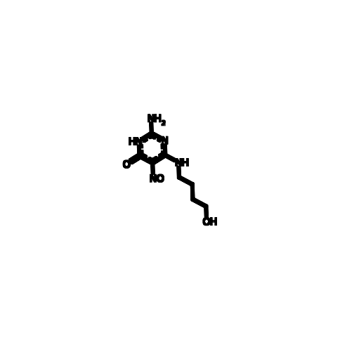 Nc1nc(NCCCCO)c(N=O)c(=O)[nH]1